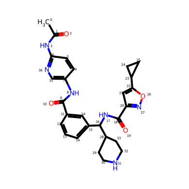 CC(=O)Nc1ccc(NC(=O)c2cccc(C(NC(=O)c3cc(C4CC4)on3)C3CCNCC3)c2)cn1